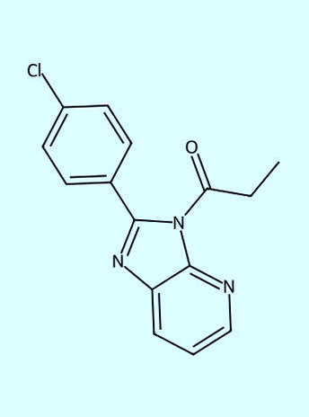 CCC(=O)n1c(-c2ccc(Cl)cc2)nc2cccnc21